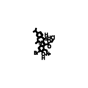 CCOC(=O)c1c(C(S)c2ccc(C(C)C)cc2)n(C(C)C)c2cc(Br)c(O)c(CN(C)C)c12.Cl